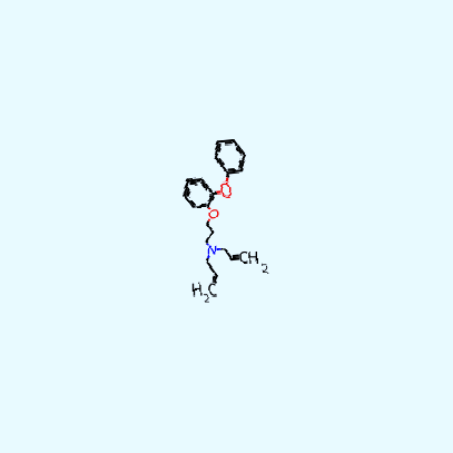 C=CCN(CC=C)CCCOc1ccccc1Oc1ccccc1